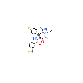 CCCn1nc(C)c2c1N(CC)C(=O)[C@@H](NC(=O)c1cccc(C(F)(F)F)c1)[C@H]2c1ccc(F)cc1